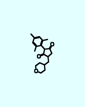 Cc1cc(C)c(C2C(=O)CC(CC3CCOCC3)C2=O)c(C)c1